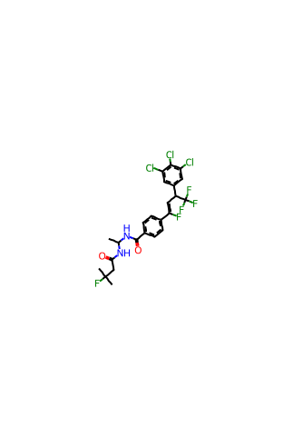 CC(NC(=O)CC(C)(C)F)NC(=O)c1ccc(/C(F)=C/C(c2cc(Cl)c(Cl)c(Cl)c2)C(F)(F)F)cc1